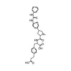 CN1CC(c2ccc(NC(=S)Nc3ccccc3)cc2)CC1C(=O)NC(Cc1ccc(CCC(=O)O)cc1)C(=O)O